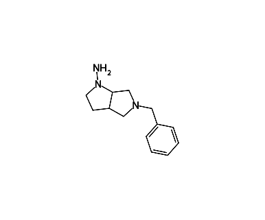 NN1CCC2CN(Cc3ccccc3)CC21